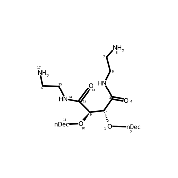 CCCCCCCCCCO[C@@H](C(=O)NCCN)[C@@H](OCCCCCCCCCC)C(=O)NCCN